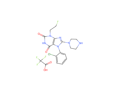 O=C(O)C(F)(F)F.O=c1[nH]c(=O)n(CCF)c2nc(N3CCNCC3)n(-c3ccccc3Cl)c12